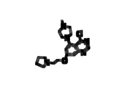 CN1CCN(c2cc(OCCN3CCCC3)cc3ncnc(Cl)c23)CC1